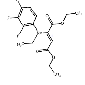 CCOC(=O)/C=C(/C(=O)OCC)N(CC)c1ccc(F)c(F)c1F